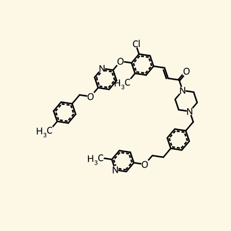 Cc1ccc(COc2ccc(Oc3c(C)cc(C=CC(=O)N4CCN(Cc5ccc(CCOc6ccc(C)nc6)cc5)CC4)cc3Cl)nc2)cc1